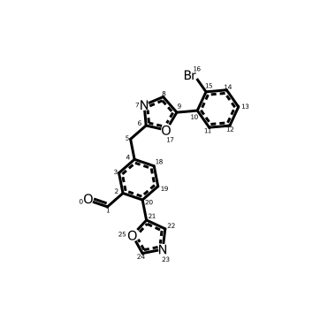 O=Cc1cc(Cc2ncc(-c3ccccc3Br)o2)ccc1-c1cnco1